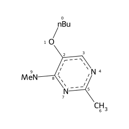 CCCCOc1cnc(C)nc1NC